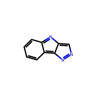 C1=C2N=c3ccccc3=C2N=N1